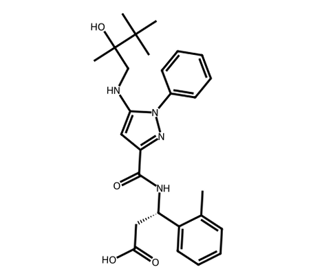 Cc1ccccc1[C@H](CC(=O)O)NC(=O)c1cc(NCC(C)(O)C(C)(C)C)n(-c2ccccc2)n1